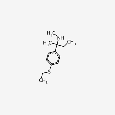 CCSc1ccc(C(C)(CC)NC)cc1